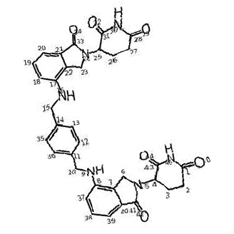 O=C1CCC(N2Cc3c(NCc4ccc(CNc5cccc6c5CN(C5CCC(=O)NC5=O)C6=O)cc4)cccc3C2=O)C(=O)N1